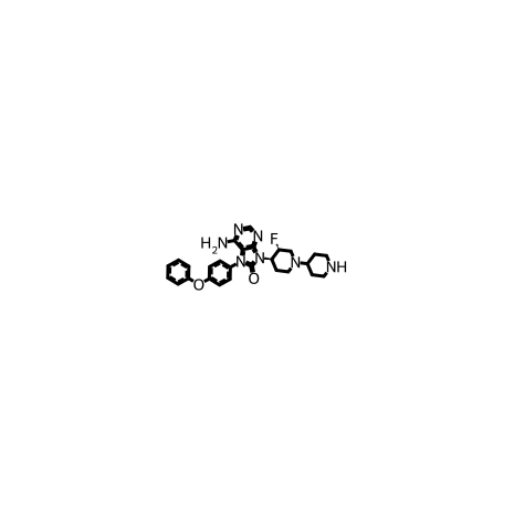 Nc1ncnc2c1n(-c1ccc(Oc3ccccc3)cc1)c(=O)n2[C@@H]1CCN(C2CCNCC2)C[C@H]1F